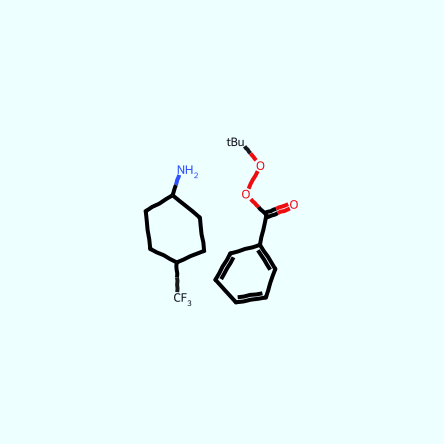 CC(C)(C)OOC(=O)c1ccccc1.NC1CCC(C(F)(F)F)CC1